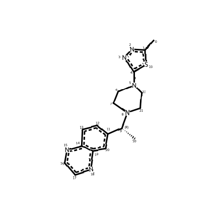 Cc1nnc(N2CCN([C@H](C)c3ccc4nccnc4c3)CC2)s1